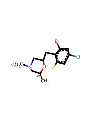 C[C@H]1CN(C(=O)O)CC(Cc2c(F)cc(Cl)cc2Br)O1